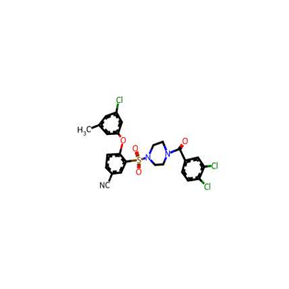 Cc1cc(Cl)cc(Oc2ccc(C#N)cc2S(=O)(=O)N2CCN(C(=O)c3ccc(Cl)c(Cl)c3)CC2)c1